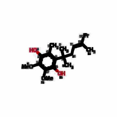 COc1c(O)c(C)c(C(C)(C)C/C=C(\C)C(C)C)c(O)c1OC